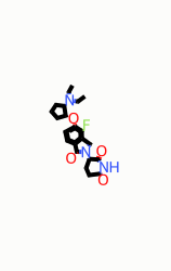 CCN(CC)[C@@H]1CCC[C@H]1Oc1ccc2c(c1F)CN(C1CCC(=O)NC1=O)C2=O